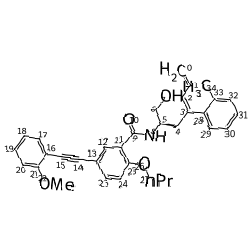 C=C/C=C(/C[C@H](CO)NC(=O)c1cc(C#Cc2ccccc2OC)ccc1OCCC)c1ccccc1C